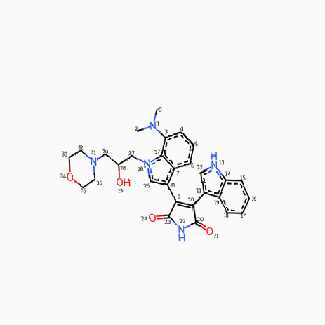 CN(C)c1cccc2c(C3=C(c4c[nH]c5ccccc45)C(=O)NC3=O)cn(CC(O)CN3CCOCC3)c12